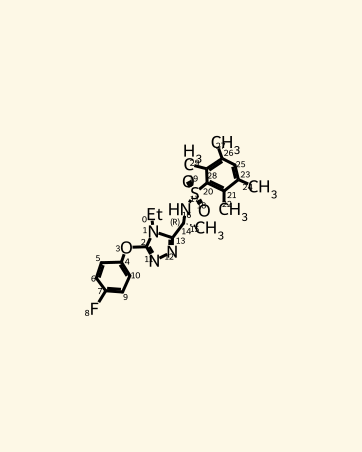 CCn1c(Oc2ccc(F)cc2)nnc1[C@@H](C)NS(=O)(=O)c1c(C)c(C)cc(C)c1C